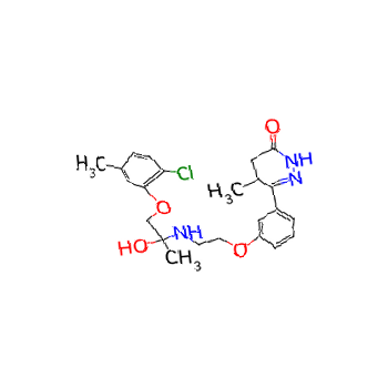 Cc1ccc(Cl)c(OCC(C)(O)NCCOc2cccc(C3=NNC(=O)CC3C)c2)c1